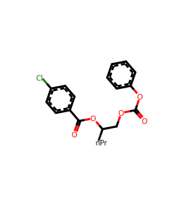 CCCC(COC(=O)Oc1ccccc1)OC(=O)c1ccc(Cl)cc1